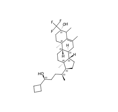 CC1=C2C(C)[C@](O)(C(F)(F)F)CC[C@]2(C)[C@H]2CC[C@@]3(C)[C@@H](CC[C@H]3[C@@H](C)CC[C@H](O)C3CCC3)[C@@H]2C1